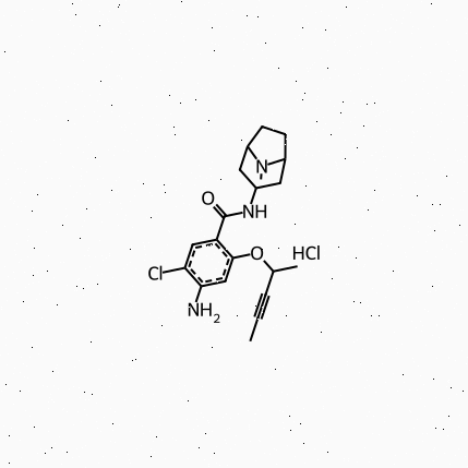 CC#CC(C)Oc1cc(N)c(Cl)cc1C(=O)NC1CC2CCC(C1)N2C.Cl